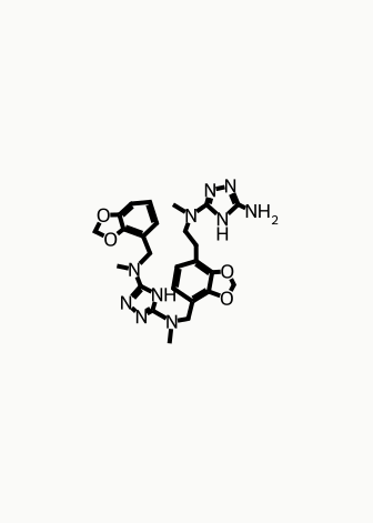 CN(CCc1ccc(CN(C)c2nnc(N(C)Cc3cccc4c3OCO4)[nH]2)c2c1OCO2)c1nnc(N)[nH]1